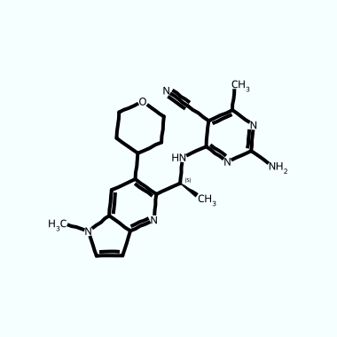 Cc1nc(N)nc(N[C@@H](C)c2nc3ccn(C)c3cc2C2CCOCC2)c1C#N